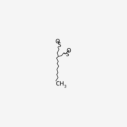 CCCCCCCCCCC(CC=S=O)CCC=S=O